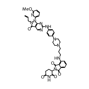 C=CCn1c(=O)c2cnc(Nc3ccc(N4CCN(CCCNc5cccc6c5C(=O)N(C5CCC(=O)NC5=O)C6=O)CC4)cc3)nc2n1-c1cccc(OC)n1